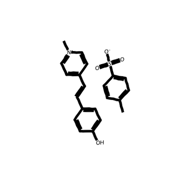 C[n+]1ccc(C=Cc2ccc(O)cc2)cc1.Cc1ccc(S(=O)(=O)[O-])cc1